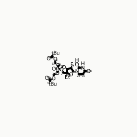 CC[C@]1(COP(=O)(OCOC(=O)C(C)(C)C)OCOC(=O)C(C)(C)C)O[C@@H](N2C=CC(=O)NC2O)[C@H](F)[C@@H]1O